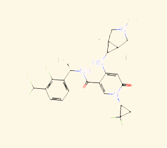 C[C@@H](NC(=O)c1cn([C@H]2CC2(F)F)c(=O)cc1NC1[C@H]2CN(C)C[C@@H]12)c1cccc(C(F)F)c1F